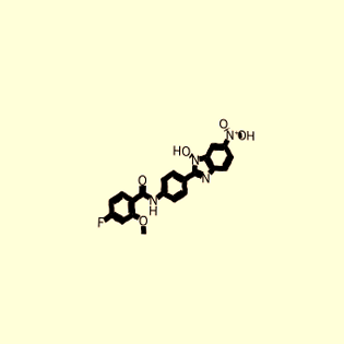 COc1cc(F)ccc1C(=O)Nc1ccc(-c2nc3ccc([N+](=O)O)cc3n2O)cc1